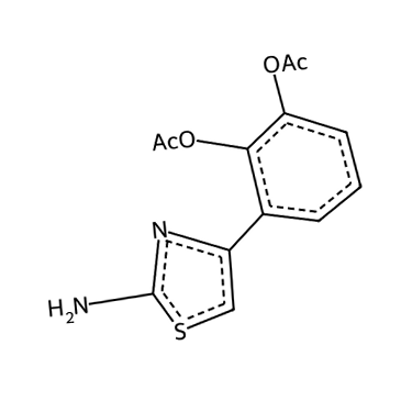 CC(=O)Oc1cccc(-c2csc(N)n2)c1OC(C)=O